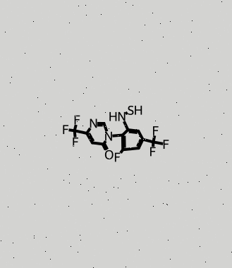 O=c1cc(C(F)(F)F)ncn1-c1c(F)cc(C(F)(F)F)cc1NS